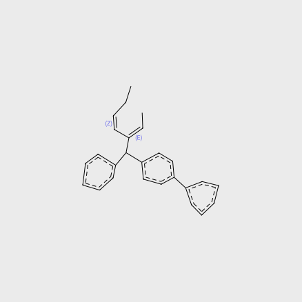 C/C=C(\C=C/CC)C(c1ccccc1)c1ccc(-c2ccccc2)cc1